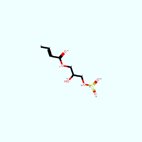 CC=CC(=O)OCC(O)CO[SH](=O)=O